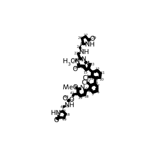 COc1nc(-c2cccc(-c3cccc(-c4cc5c(=O)n(C)c(CNC[C@@H]6CCC(=O)N6)nn5c4)c3Cl)c2Cl)ccc1COC(=O)NC[C@@H]1CCC(=O)N1